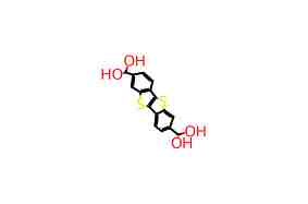 OC(O)c1ccc2c(c1)sc1c3ccc(C(O)O)cc3sc21